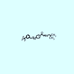 CC(C)CNCCC(=O)N1CCC(=NOCc2cccc(C(F)(F)F)c2)CC1